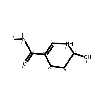 CNC(=O)C1=CNC(O)CC1